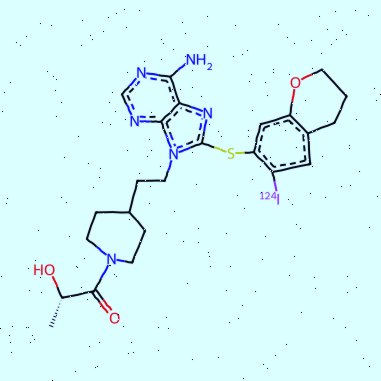 C[C@H](O)C(=O)N1CCC(CCn2c(Sc3cc4c(cc3[124I])CCCO4)nc3c(N)ncnc32)CC1